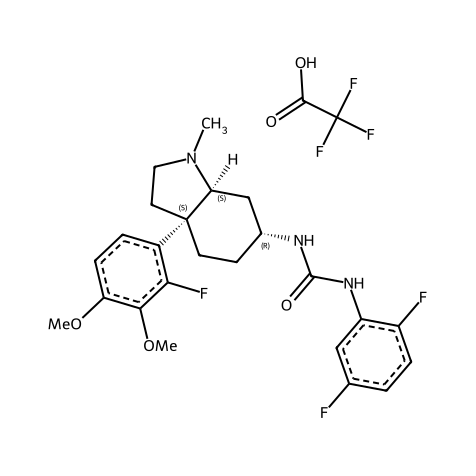 COc1ccc([C@@]23CC[C@@H](NC(=O)Nc4cc(F)ccc4F)C[C@@H]2N(C)CC3)c(F)c1OC.O=C(O)C(F)(F)F